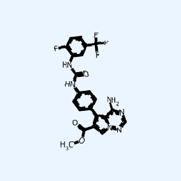 COC(=O)c1cn2ncnc(N)c2c1-c1ccc(NC(=O)Nc2cc(C(F)(F)F)ccc2F)cc1